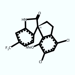 COc1c(Cl)cc(Cl)c2c1[C@@]1(CC2)C(=O)Nc2cc(C(F)(F)F)ccc21